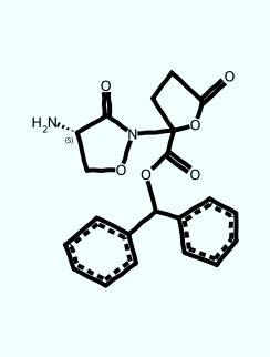 N[C@H]1CON(C2(C(=O)OC(c3ccccc3)c3ccccc3)CCC(=O)O2)C1=O